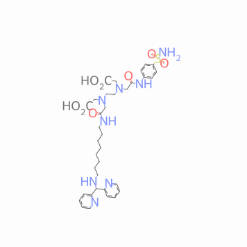 NS(=O)(=O)c1ccc(NC(=O)CN(CCN(CC(=O)O)CC(=O)NCCCCCCCCNC(c2ccccn2)c2ccccn2)CC(=O)O)cc1